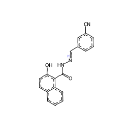 N#Cc1cccc(/C=N/NC(=O)c2c(O)ccc3ccccc23)c1